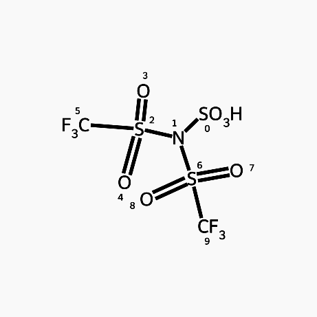 O=S(=O)(O)N(S(=O)(=O)C(F)(F)F)S(=O)(=O)C(F)(F)F